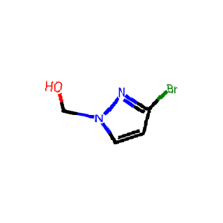 OCn1ccc(Br)n1